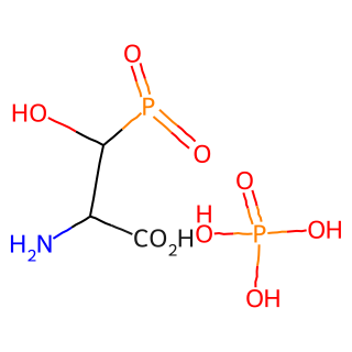 NC(C(=O)O)C(O)P(=O)=O.O=P(O)(O)O